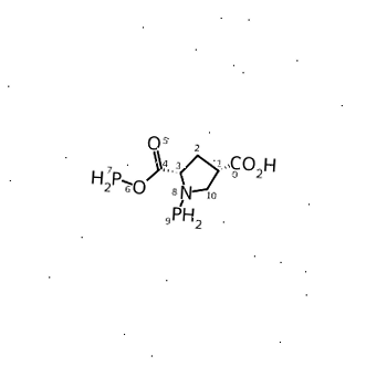 O=C(O)[C@H]1C[C@@H](C(=O)OP)N(P)C1